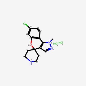 Cl.Cl.Cn1ncc2c1-c1ccc(Cl)cc1OC21CCNCC1